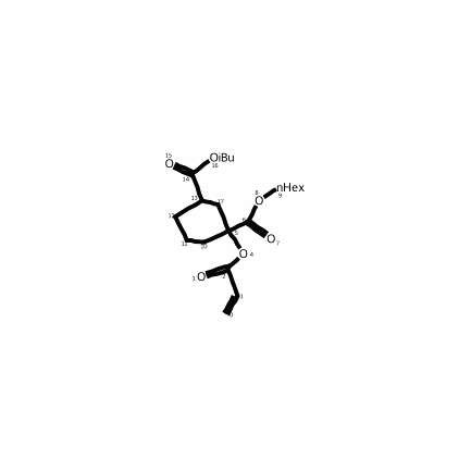 C=CC(=O)OC1(C(=O)OCCCCCC)CCCC(C(=O)OCC(C)C)C1